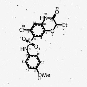 CCC1Oc2cc(S(=O)(=O)Nc3ccc(OC)cc3)c(Cl)cc2NC1=O